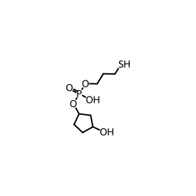 O=P(O)(OCCCS)OC1CCC(O)C1